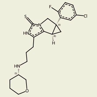 Fc1ccc(Cl)cc1[C@]12C[C@H]1c1c(CCCN[C@H]3CCCOC3)[nH]c(=S)n1C2